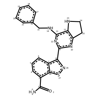 NC(=O)c1cccc2c(-c3nc4c(c(NCc5ccccc5)n3)NCC4)nsc12